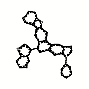 c1ccc(-n2ccc3cc4c(cc(-c5csc6ccccc56)c5cc6c(cc54)sc4ccccc46)cc32)cc1